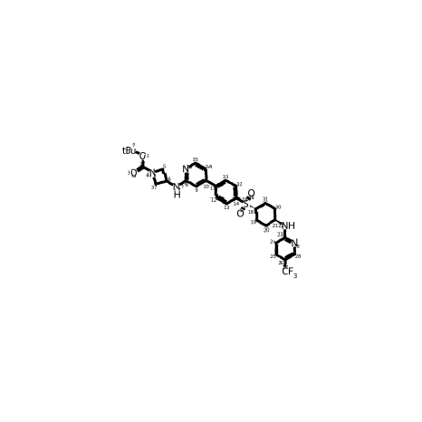 CC(C)(C)OC(=O)N1CC(Nc2cc(-c3ccc(S(=O)(=O)[C@H]4CC[C@H](Nc5ccc(C(F)(F)F)cn5)CC4)cc3)ccn2)C1